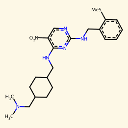 CSc1ccccc1CNc1ncc([N+](=O)[O-])c(NCC2CCC(CN(C)C)CC2)n1